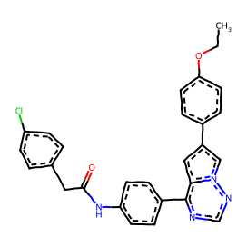 CCOc1ccc(-c2cc3c(-c4ccc(NC(=O)Cc5ccc(Cl)cc5)cc4)ncnn3c2)cc1